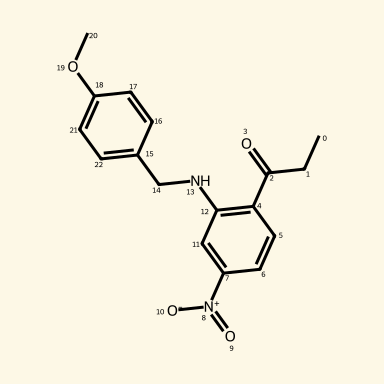 CCC(=O)c1ccc([N+](=O)[O-])cc1NCc1ccc(OC)cc1